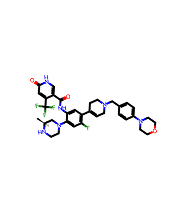 C[C@H]1CN(c2cc(F)c(C3=CCN(Cc4ccc(N5CCOCC5)cc4)CC3)cc2NC(=O)c2c[nH]c(=O)cc2C(F)(F)F)CCN1